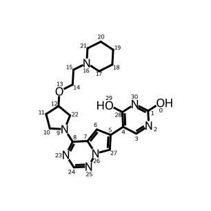 Oc1ncc(-c2cc3c(N4CCC(OCCN5CCCCC5)C4)ncnn3c2)c(O)n1